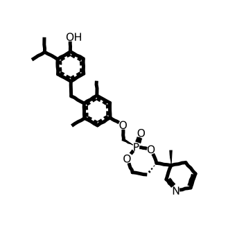 Cc1cc(OC[P@]2(=O)OCC[C@@H]([C@@]3(C)C=NC=CC3)O2)cc(C)c1Cc1ccc(O)c(C(C)C)c1